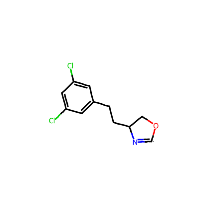 Clc1cc(Cl)cc(CCC2CO[C]=N2)c1